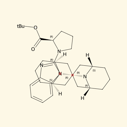 CC(C)(C)OC(=O)[C@H]1CCCN1c1nc2ccccc2n1[C@H]1C[C@H]2CCC[C@@H](C1)N2[C@H]1C[C@@H]2CCC[C@@H](C2)C1